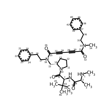 CN[C@@H](C)C(=O)N[C@H](C(=O)N1CCC[C@H]1CN(CCc1ccccc1)C(=O)C#CC#CC(=O)N(C)CCc1ccccc1)C(C)(C)C